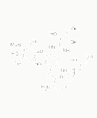 CN[C@@H]1C(O)[C@@H](OC2C(O)C(O[C@H]3O[C@H](CNCC(O)CO)CCC3N)[C@@H](N)C[C@H]2NC(=N)C(O)C(O)CO)OCC1(C)O